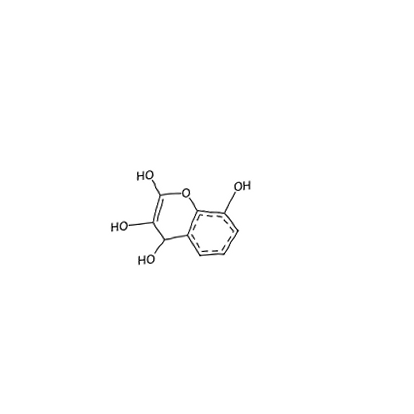 OC1=C(O)C(O)c2cccc(O)c2O1